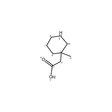 CC1(CC(=O)O)CCCNC1